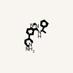 CC(Nc1ncnc2ccc(-c3ccc(N)nc3)cc12)c1ccccc1